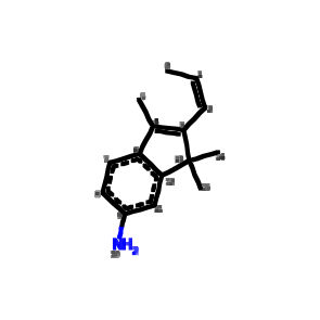 C/C=C\C1=C(C)c2ccc(N)cc2C1(C)C